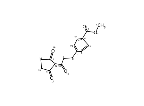 COC(=O)c1ccc(CCC(=O)C2C(=O)CCC2=O)cc1